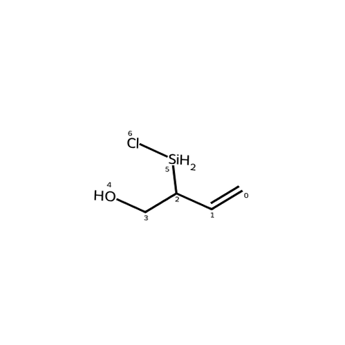 C=CC(CO)[SiH2]Cl